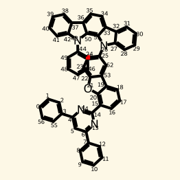 c1ccc(-c2cc(-c3ccccc3)nc(-c3cccc4c3oc3ccc(-n5c6ccccc6c6ccc7c8ccccc8n(-c8ccccc8)c7c65)cc34)n2)cc1